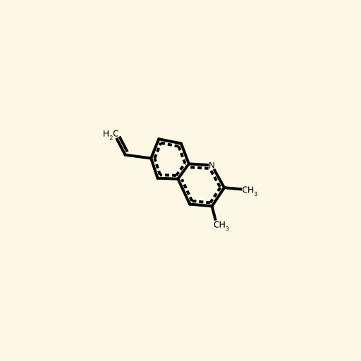 C=Cc1ccc2nc(C)c(C)cc2c1